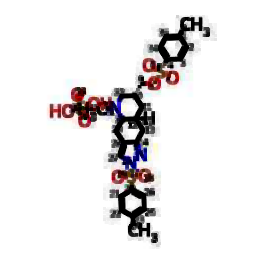 Cc1ccc(S(=O)(=O)OC[C@@H]2C[C@@H]3Cc4nn(S(=O)(=O)c5ccc(C)cc5)cc4CC3N(C)C2)cc1.O=S(=O)(O)O